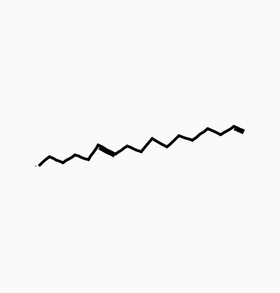 [CH2]CCCCC=CCCCCCCCCC=C